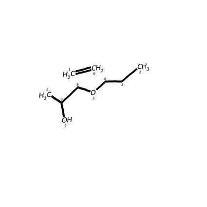 C=C.CCCOCC(C)O